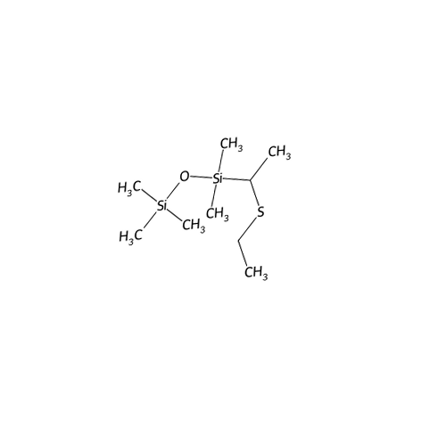 CCSC(C)[Si](C)(C)O[Si](C)(C)C